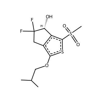 CC(C)COc1sc(S(C)(=O)=O)c2c1CC(F)(F)[C@@H]2O